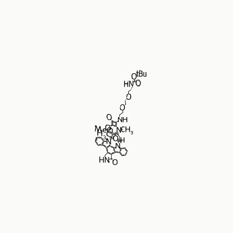 CO[C@@H]1[C@H](N(C)c2c(NCCOCCOCCNC(=O)OC(C)(C)C)c(=O)c2=O)C[C@H]2O[C@]1(C)n1c3ccccc3c3c4c(c5c6ccccc6n2c5c31)C(=O)NC4